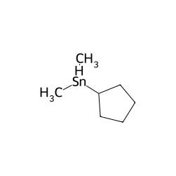 [CH3][SnH]([CH3])[CH]1CCCC1